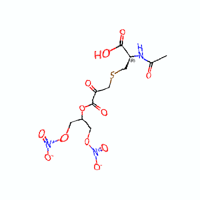 CC(=O)N[C@@H](CSCC(=O)C(=O)OC(CO[N+](=O)[O-])CO[N+](=O)[O-])C(=O)O